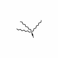 CC#C[Si](CCCCCCCC)(CCCCCCCC)CCCCCCCC